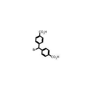 O=C(O)c1ccc(C(Br)c2ccc(C(=O)O)cc2)cc1